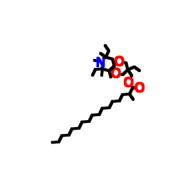 CCCCCCCCCCCCCCCC(C)C(=O)OCC1(CC)COC2(CC(C)(CC)N(C)C(C)(CC)C2C)OC1